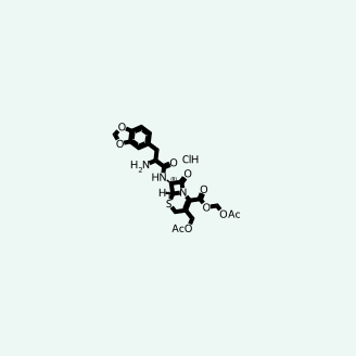 CC(=O)OCOC(=O)C1=C(COC(C)=O)CS[C@@H]2[C@H](NC(=O)C(N)Cc3ccc4c(c3)OCO4)C(=O)N12.Cl